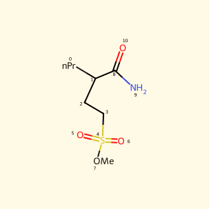 CCCC(CCS(=O)(=O)OC)C(N)=O